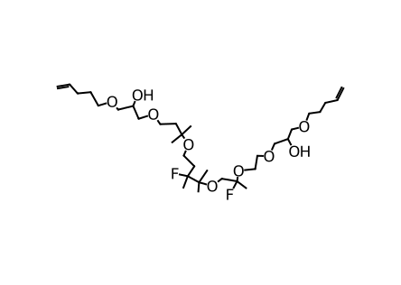 C=CCCCOCC(O)COCCOC(C)(F)COC(C)(C)C(C)(F)CCOC(C)(C)CCOCC(O)COCCCC=C